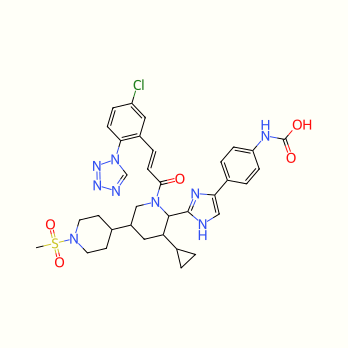 CS(=O)(=O)N1CCC(C2CC(C3CC3)C(c3nc(-c4ccc(NC(=O)O)cc4)c[nH]3)N(C(=O)C=Cc3cc(Cl)ccc3-n3cnnn3)C2)CC1